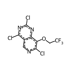 FC(F)(F)COc1c(Cl)ncc2c(Cl)nc(Cl)nc12